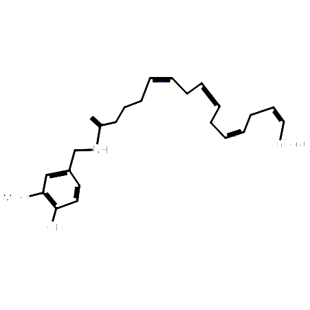 CCCCC/C=C\C/C=C\C/C=C\C/C=C\CCCC(=O)NCc1ccc(O)c(OC)c1